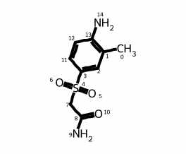 Cc1cc(S(=O)(=O)CC(N)=O)ccc1N